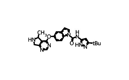 CC1NCc2ncnc(Oc3ccc4c(ccn4C(=O)Nc4cc(C(C)(C)C)n[nH]4)c3)c21